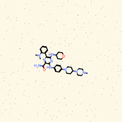 CN1CCN(C2CCN(c3ccc(Nc4nc(NC5CCOCC5)c(-c5ccccc5N(C)C)nc4C(N)=O)cc3)CC2)CC1